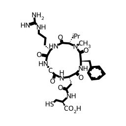 CC(C)[C@H]1C(=O)N[C@@H](CCCNC(=N)N)C(=O)NCC(=O)N[C@@H](CC(=O)N[C@H](CS)C(=O)O)C(=O)N[C@H](Cc2ccccc2)C(=O)N1C